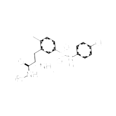 Cc1ccc(S(=O)(=O)Nc2ccc(Cl)cc2)cc1C[C@H](N)C(=O)NC(C)C